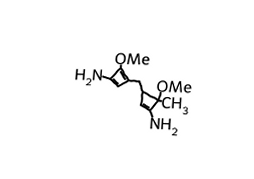 COC1=C(CC2C=C(N)C2(C)OC)C=C1N